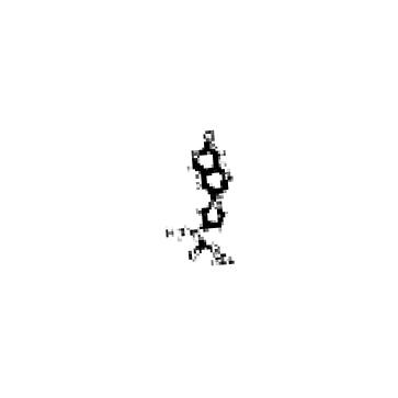 CN(C(=O)OC(C)(C)C)C1CCN(c2cnc3cc(Cl)ncc3c2)C1